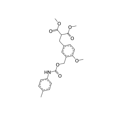 COC(=O)C(Cc1ccc(OC)c(COC(=O)Nc2ccc(C)cc2)c1)C(=O)OC